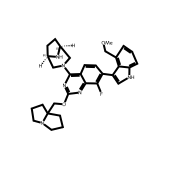 COCc1cccc2[nH]cc(-c3ccc4c(N5C[C@H]6CC[C@@H](C5)N6)nc(OCC56CCCN5CCC6)nc4c3F)c12